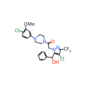 COc1cc(N2CCN(C(=O)Cn3nc(C(F)(F)F)c(Cl)c3C(O)c3ccccc3)CC2)ccc1Cl